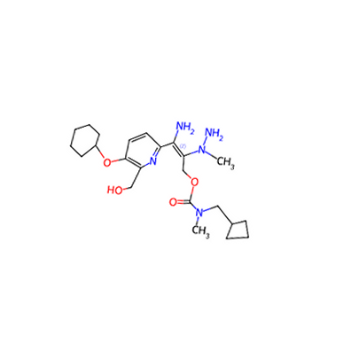 CN(CC1CCC1)C(=O)OC/C(=C(/N)c1ccc(OC2CCCCC2)c(CO)n1)N(C)N